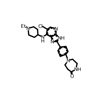 CCN1CCC(Nc2c(Cl)cnc3[nH]c(-c4ccc(N5CCNC(=O)CC5)cc4)nc23)CC1